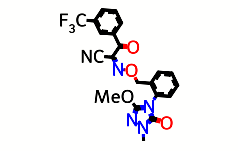 COc1nn(C)c(=O)n1-c1ccccc1CON=C(C#N)C(=O)c1cccc(C(F)(F)F)c1